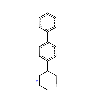 C/C=C\C(CI)c1ccc(-c2ccccc2)cc1